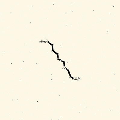 CCCCCCCCCCCCOCCS(=O)(=O)O